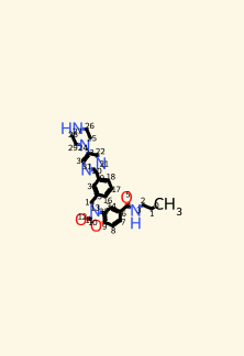 CCCNC(=O)c1ccc2oc(=O)n(Cc3cccc(-c4ncc(N5CCNCC5)cn4)c3)c2c1